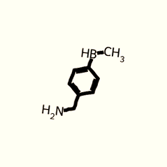 CBc1ccc(CN)cc1